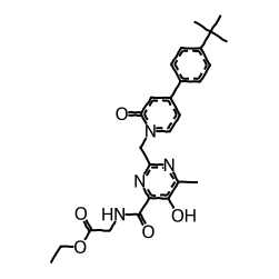 CCOC(=O)CNC(=O)c1nc(Cn2ccc(-c3ccc(C(C)(C)C)cc3)cc2=O)nc(C)c1O